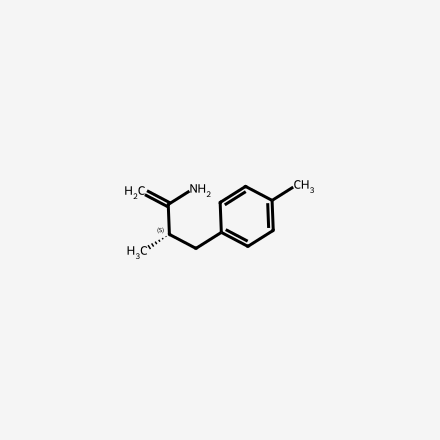 C=C(N)[C@@H](C)Cc1ccc(C)cc1